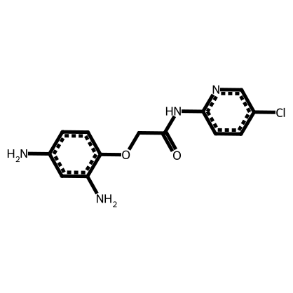 Nc1ccc(OCC(=O)Nc2ccc(Cl)cn2)c(N)c1